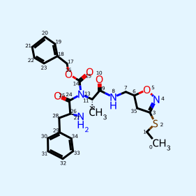 CCSC1=NOC(CNC(=O)[C@H](C)N(C(=O)OCc2ccccc2)C(=O)[C@@H](N)Cc2ccccc2)C1